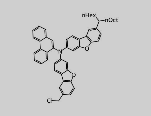 CCCCCCCCC(CCCCCC)c1ccc2oc3cc(N(c4ccc5c(c4)oc4ccc(CCl)cc45)c4cc5ccccc5c5ccccc45)ccc3c2c1